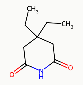 CCC1(CC)CC(=O)NC(=O)C1